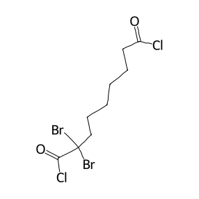 O=C(Cl)CCCCCCC(Br)(Br)C(=O)Cl